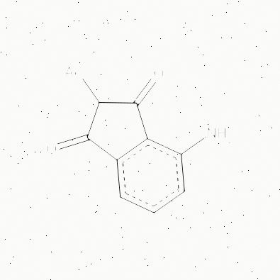 CC(=O)C1C(=O)c2cccc(N)c2C1=O